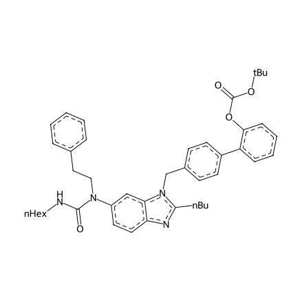 CCCCCCNC(=O)N(CCc1ccccc1)c1ccc2nc(CCCC)n(Cc3ccc(-c4ccccc4OC(=O)OC(C)(C)C)cc3)c2c1